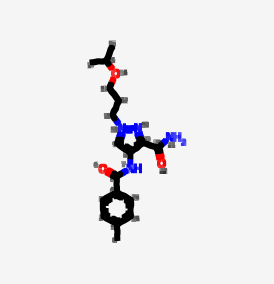 Cc1ccc(C(=O)Nc2cn(CCCOC(C)C)nc2C(N)=O)cc1